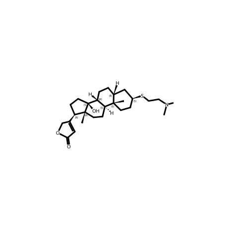 CN(C)CCS[C@H]1CC[C@@]2(C)[C@H](CC[C@@H]3[C@@H]2CC[C@]2(C)[C@@H](C4=CC(=O)OC4)CC[C@]32O)C1